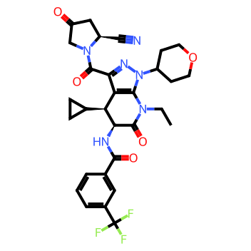 CCN1C(=O)[C@@H](NC(=O)c2cccc(C(F)(F)F)c2)[C@@H](C2CC2)c2c(C(=O)N3CC(=O)C[C@H]3C#N)nn(C3CCOCC3)c21